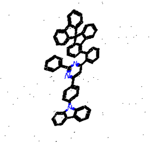 c1ccc(-c2nc(-c3ccc(-n4c5ccccc5c5ccccc54)cc3)cc(-c3ccccc3-c3cccc4c3-c3ccccc3C43c4ccccc4-c4ccccc43)n2)cc1